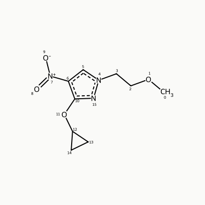 COCCn1cc([N+](=O)[O-])c(OC2CC2)n1